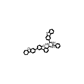 C1=Cc2oc3cc(-c4ccc5oc6c(C7NC(c8ccccc8)NC(c8ccc9sc%10ccccc%10c9c8)N7)cccc6c5c4)ccc3c2CC1